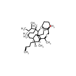 C=CCC[C@@H]1C(CC)C2CC[C@]1(C)C(C(C)=C=CC1CCCCC1)C2(CSCC)C(C)C(C)(CCC)C(C)CC